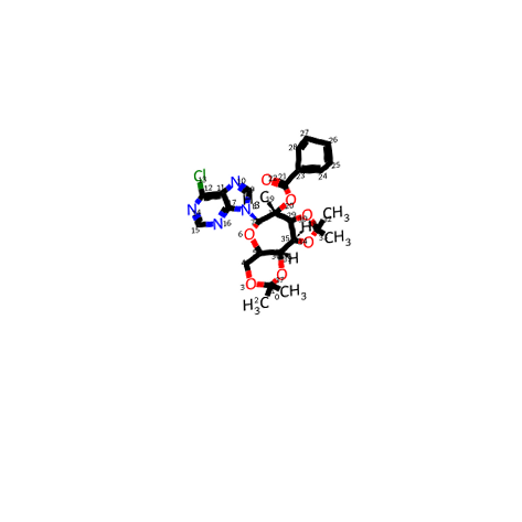 CC1(C)OCC2O[C@@H](n3cnc4c(Cl)ncnc43)[C@](C)(OC(=O)c3ccccc3)C3OC(C)(C)O[C@H]3[C@@H]2O1